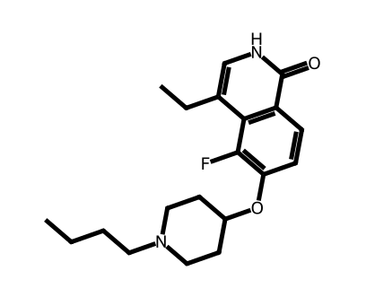 CCCCN1CCC(Oc2ccc3c(=O)[nH]cc(CC)c3c2F)CC1